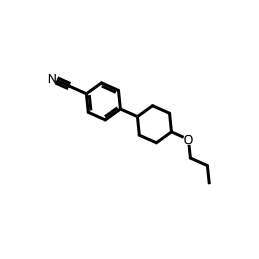 CCCOC1CCC(c2ccc(C#N)cc2)CC1